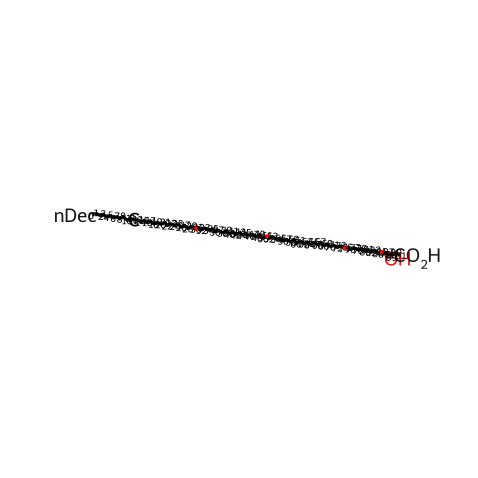 CCCCCCCCCCCCCCCCCCCCCCCCCCCCCCCCCCCCCCCCCCCCCCCCCCCCCCCCCCCCCCCCCCCCCCCCCCCCCCCCCCCCCCCCCCCCCCCCCC(O)CC(=O)O